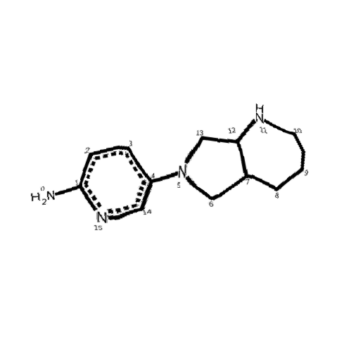 Nc1ccc(N2CC3CCCNC3C2)cn1